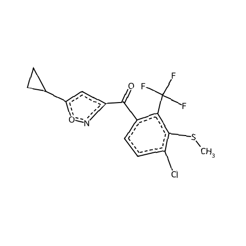 CSc1c(Cl)ccc(C(=O)c2cc(C3CC3)on2)c1C(F)(F)F